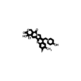 CC[C@@]1(O)C(=O)OCc2c1cc1n(c2=O)Cc2c-1nc1cc(F)c(C)cc1c2CN1CCC(O)CC1